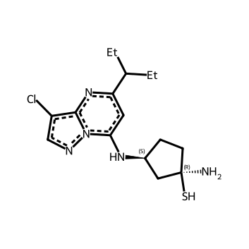 CCC(CC)c1cc(N[C@H]2CC[C@@](N)(S)C2)n2ncc(Cl)c2n1